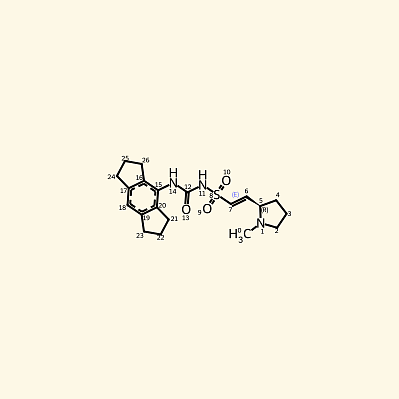 CN1CCC[C@@H]1/C=C/S(=O)(=O)NC(=O)Nc1c2c(cc3c1CCC3)CCC2